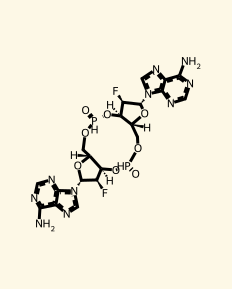 Nc1ncnc2c1ncn2[C@@H]1O[C@@H]2CO[PH](=O)O[C@H]3[C@@H](F)[C@H](n4cnc5c(N)ncnc54)O[C@@H]3CO[PH](=O)O[C@H]2[C@H]1F